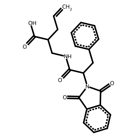 C=CCC(CNC(=O)C(Cc1ccccc1)N1C(=O)c2ccccc2C1=O)C(=O)O